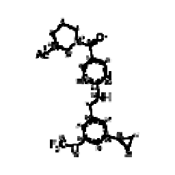 CC(=O)N1CCCN(C(=O)c2cnc(NCc3cc(OC(F)(F)F)cc(C4CC4)c3)nc2)C1